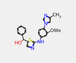 COc1cc(Nc2ncc(C(O)c3ccccc3)s2)ccc1-n1cnc(C)c1